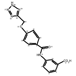 O=C(O)c1cccc(NC(=O)c2ccc(SCc3nn[nH]n3)cc2)c1